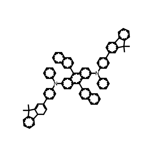 CC1(C)C2=CC(c3ccc(N(c4ccccc4)c4ccc5c(-c6ccc7ccccc7c6)c6cc(N(c7ccccc7)c7ccc(-c8ccc9c(c8)C(C)(C)c8ccccc8-9)cc7)ccc6c(-c6ccc7ccccc7c6)c5c4)cc3)=CCC2c2ccccc21